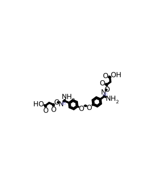 N/C(=N\OC(=O)CC(=O)O)c1ccc(OCOc2ccc(/C(N)=N/OC(=O)CC(=O)O)cc2)cc1